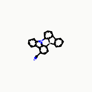 N#Cc1ccc2c3c1c1ccccc1n3-c1cccc3c1B2c1ccccc1-3